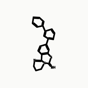 N=C1Sc2cc(-c3cccc(-c4ccccc4)c3)ccc2C2=NCCCN12